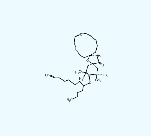 C=CCCCCCC(CCCC)ON1C(C)(C)CC2(CC1(C)C)OC1(CCCCCCCCCCC1)NC2=O